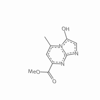 COC(=O)c1cc(C)n2c(O)cnc2n1